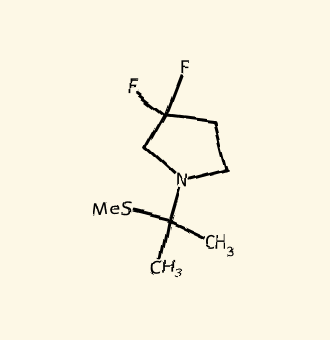 CSC(C)(C)N1CCC(F)(F)C1